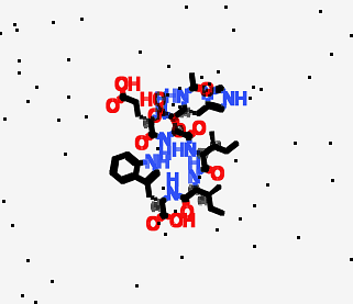 CC[C@H](C)[C@H](NC(=O)[C@H](CC(=O)O)NC(=O)[C@H](CCC(=O)O)NC(=O)[C@@H](Cc1c[nH]cn1)NC(C)=O)C(=O)N[C@H](C(=O)N[C@@H](Cc1c[nH]c2ccccc12)C(=O)O)[C@@H](C)CC